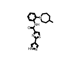 CC1CCCN(c2ccccc2NC(=O)c2csc(-c3cn[nH]c3)n2)CC1